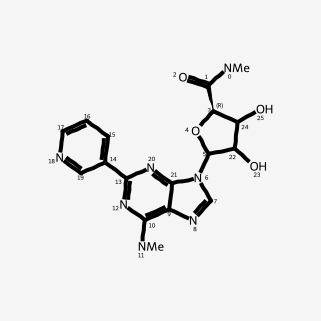 CNC(=O)[C@@H]1OC(n2cnc3c(NC)nc(-c4cccnc4)nc32)C(O)C1O